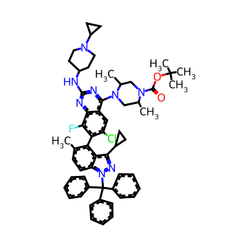 Cc1ccc2c(c(C3CC3)nn2C(c2ccccc2)(c2ccccc2)c2ccccc2)c1-c1c(Cl)cc2c(N3CC(C)N(C(=O)OC(C)(C)C)CC3C)nc(NC3CCN(C4CC4)CC3)nc2c1F